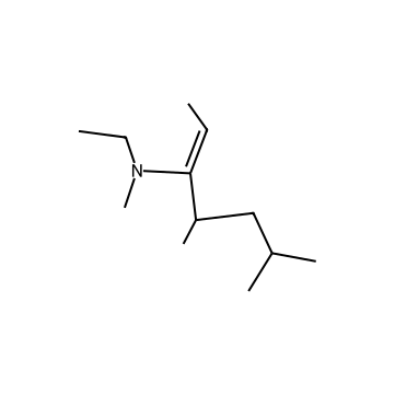 C/C=C(/C(C)CC(C)C)N(C)CC